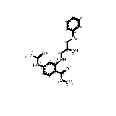 COC(=O)c1ccc(NC(C)=O)cc1NCC(O)COc1ccccc1